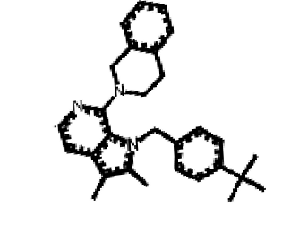 Cc1c(C)n(Cc2ccc(C(C)(C)C)cc2)c2c(N3CCc4ccccc4C3)n[c]cc12